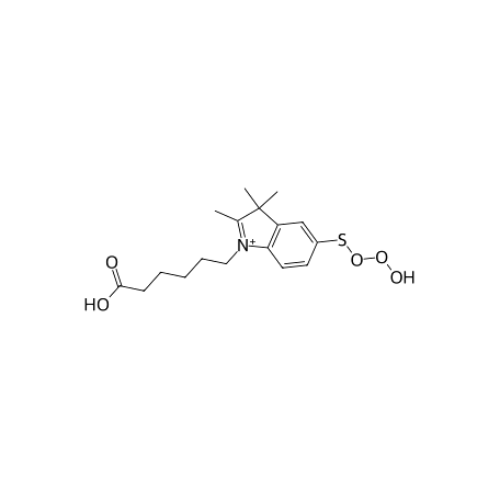 CC1=[N+](CCCCCC(=O)O)c2ccc(SOOO)cc2C1(C)C